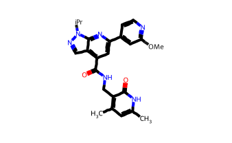 COc1cc(-c2cc(C(=O)NCc3c(C)cc(C)[nH]c3=O)c3cnn(C(C)C)c3n2)ccn1